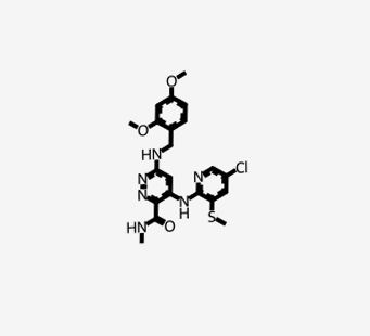 CNC(=O)c1nnc(NCc2ccc(OC)cc2OC)cc1Nc1ncc(Cl)cc1SC